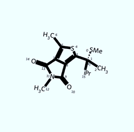 CS[C@@](C)(c1sc(C)c2c1C(=O)N(C)C2=O)C(C)C